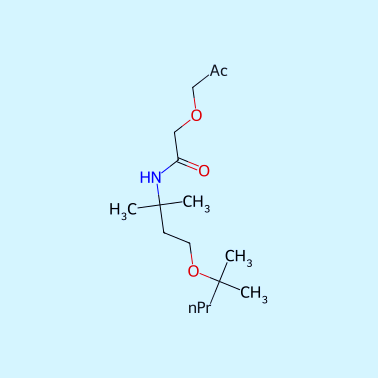 CCCC(C)(C)OCCC(C)(C)NC(=O)COCC(C)=O